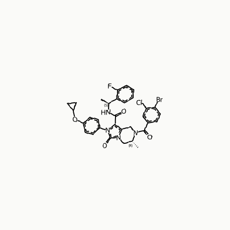 C[C@H](NC(=O)c1c2n(c(=O)n1-c1ccc(OC3CC3)cc1)C[C@@H](C)N(C(=O)c1ccc(Br)c(Cl)c1)C2)c1ccccc1F